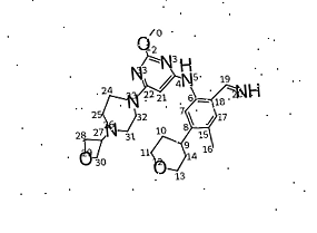 COc1nc(Nc2cc(C3CCOCC3)c(C)cc2C=N)cc(N2CCN(C3COC3)CC2)n1